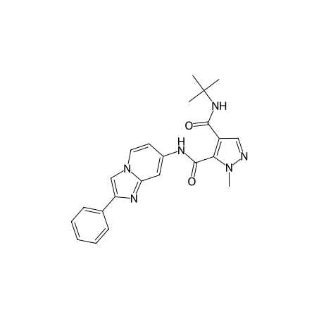 Cn1ncc(C(=O)NC(C)(C)C)c1C(=O)Nc1ccn2cc(-c3ccccc3)nc2c1